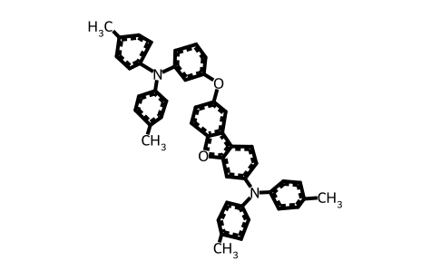 Cc1ccc(N(c2ccc(C)cc2)c2cccc(Oc3ccc4oc5cc(N(c6ccc(C)cc6)c6ccc(C)cc6)ccc5c4c3)c2)cc1